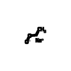 CCO[O-].[Na+]